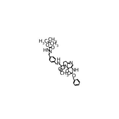 COCC1(C(=O)NCc2ccc(C=NNC(=O)OC(C)(C)C)cc2)CCc2ncc(NC(=O)OCc3ccccc3)c(=O)n21